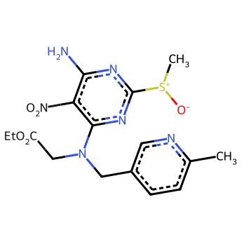 CCOC(=O)CN(Cc1ccc(C)nc1)c1nc([S+](C)[O-])nc(N)c1[N+](=O)[O-]